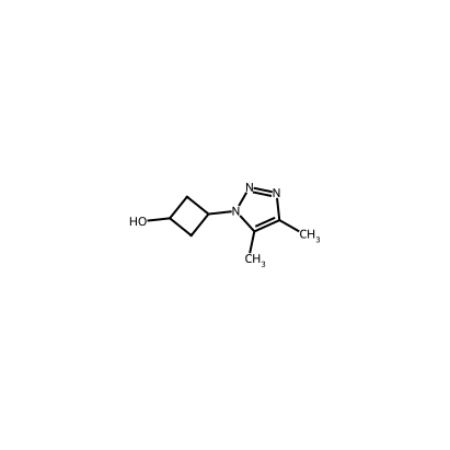 Cc1nnn(C2CC(O)C2)c1C